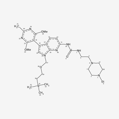 CCN1CCN(CCNC(=O)Nc2ccc3c(-c4c(OC)nc(C)nc4OC)cn(COCC[Si](C)(C)C)c3n2)CC1